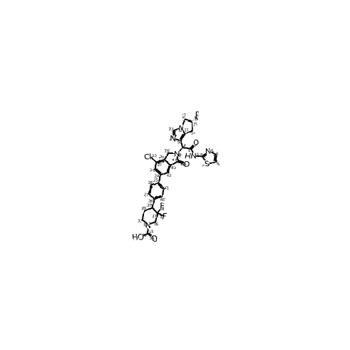 O=C(Nc1nccs1)C(c1ncn2c1C[C@@H](F)C2)N1Cc2c(Cl)cc(-c3ccc(C4CCN(C(=O)O)CC4(F)F)cc3)cc2C1=O